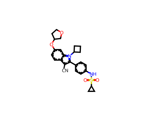 N#Cc1c(-c2ccc(NS(=O)(=O)C3CC3)cc2)n(C2CCC2)c2cc(OC3CCOC3)ccc12